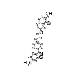 CCN1CCc2ccc(OCCCN3CCC(c4noc5cc(C)ccc45)CC3)cc2C1=O